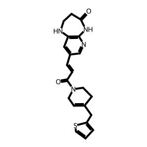 O=C1CCNc2cc(/C=C/C(=O)N3CC=C(Cc4cccs4)CC3)cnc2N1